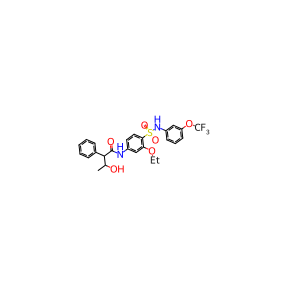 CCOc1cc(NC(=O)C(c2ccccc2)C(C)O)ccc1S(=O)(=O)Nc1cccc(OC(F)(F)F)c1